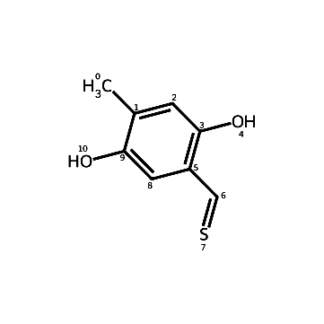 Cc1cc(O)c(C=S)cc1O